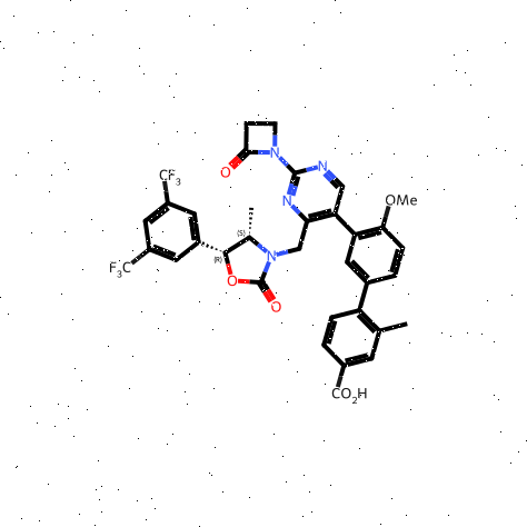 COc1ccc(-c2ccc(C(=O)O)cc2C)cc1-c1cnc(N2CCC2=O)nc1CN1C(=O)O[C@H](c2cc(C(F)(F)F)cc(C(F)(F)F)c2)[C@@H]1C